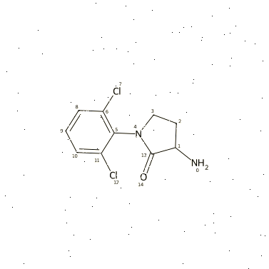 NC1CCN(c2c(Cl)cccc2Cl)C1=O